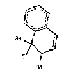 [2H]C1C=Cc2ccccc2C1([2H])Cl